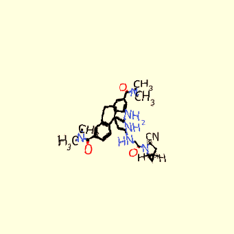 CN(C)C(=O)c1ccc2c(c1)CCc1cc(C(=O)N(C)C)ccc1C2(CCNCC(=O)N1[C@H](C#N)C[C@@H]2C[C@@H]21)C(=N)N